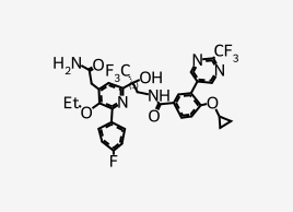 CCOc1c(CC(N)=O)cc([C@@](O)(CNC(=O)c2ccc(OC3CC3)c(-c3cnc(C(F)(F)F)nc3)c2)C(F)(F)F)nc1-c1ccc(F)cc1